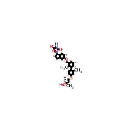 Cc1cc(OCCC(C)(C)O)ccc1-c1cccc(COc2ccc3c(c2)CCC3n2oc(=O)[nH]c2=O)c1C